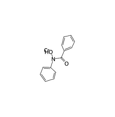 O=C(c1ccccc1)N(O)c1ccccc1.[Cr]